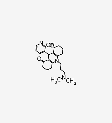 CN(C)CCCN1C2=C(C(=O)CCC2)C(c2cccnc2O)C2=C1CCCC2=O